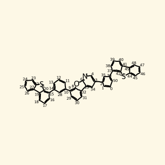 c1cc(-c2cnc3oc4c(-c5cccc(-c6cccc7c6sc6ccccc67)c5)cccc4c3c2)cc(-c2cccc3c2sc2ccccc23)c1